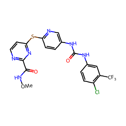 CONC(=O)c1nccc(Sc2ccc(NC(=O)Nc3ccc(Cl)c(C(F)(F)F)c3)cn2)n1